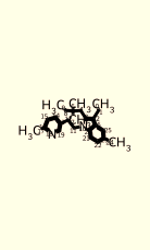 CCc1c(CC(C)(C)CC)n(CCc2ccc(C)nc2)c2ccc(C)cc12